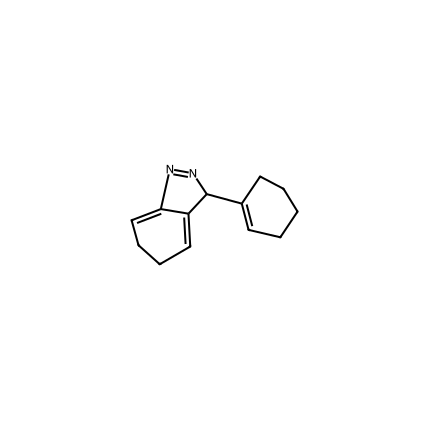 C1=C2N=NC(C3=CCCCC3)C2=CCC1